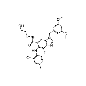 COc1cc(Cn2cnc3c(F)c(Nc4ccc(C)cc4Cl)c(C(=O)NOCCO)cc32)cc(OC)c1